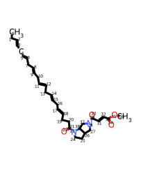 CCC=CCC=CCC=CCC=CCC=CCC=CCCC(=O)N1CCC2CN(C(=O)C=CC(=O)OC)CC21